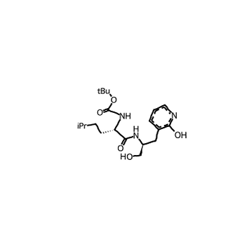 CC(C)CC[C@H](NC(=O)OC(C)(C)C)C(=O)N[C@H](CO)Cc1cccnc1O